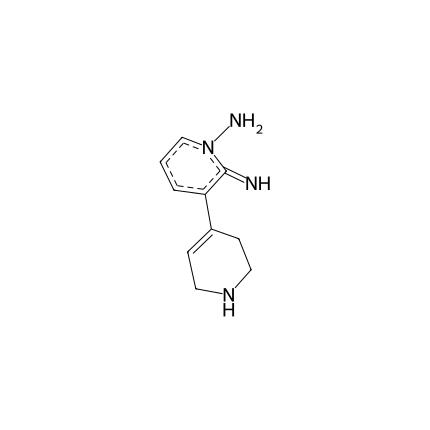 N=c1c(C2=CCNCC2)cccn1N